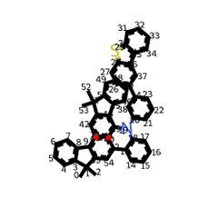 CC1(C)c2ccccc2-c2ccc(-c3ccccc3N(c3cccc(-c4ccc5sc6ccccc6c5c4)c3)c3cccc4c3-c3ccccc3C4(C)C)cc21